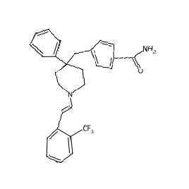 NC(=O)c1ccc(CC2(c3ccccc3)CCN(C=Cc3ccccc3C(F)(F)F)CC2)cc1